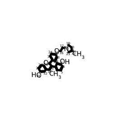 CC1=C(c2cccc(O)c2)C(c2ccc(OCCN3CC[C@@H](C)C3)cc2)Oc2ccc(O)cc21